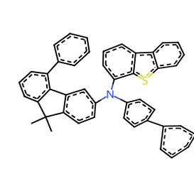 CC1(C)c2ccc(N(c3ccc(-c4ccccc4)cc3)c3cccc4c3sc3ccccc34)cc2-c2c(-c3ccccc3)cccc21